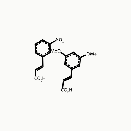 COc1cc(C=CC(=O)O)cc(OC)c1.O=C(O)C=Cc1cccc([N+](=O)[O-])c1